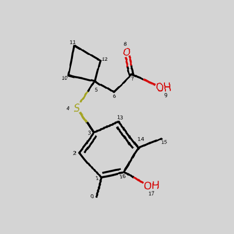 Cc1cc(SC2(CC(=O)O)CCC2)cc(C)c1O